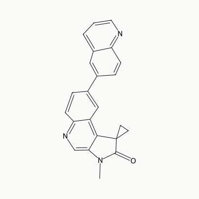 CN1C(=O)C2(CC2)c2c1cnc1ccc(-c3ccc4ncccc4c3)cc21